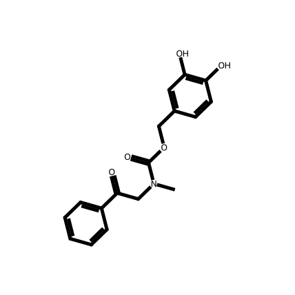 CN(CC(=O)c1ccccc1)C(=O)OCc1ccc(O)c(O)c1